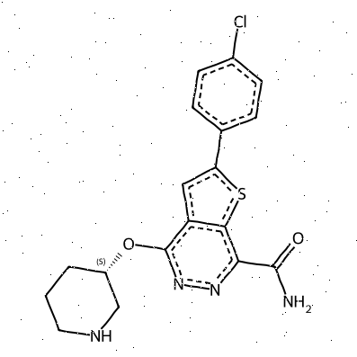 NC(=O)c1nnc(O[C@H]2CCCNC2)c2cc(-c3ccc(Cl)cc3)sc12